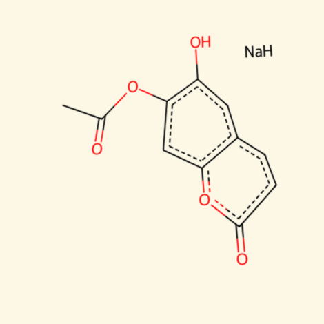 CC(=O)Oc1cc2oc(=O)ccc2cc1O.[NaH]